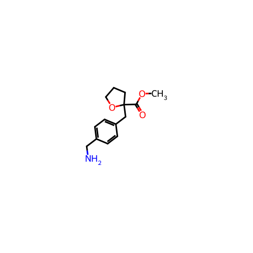 COC(=O)C1(Cc2ccc(CN)cc2)CCCO1